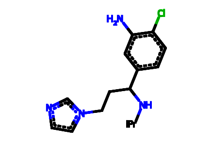 CC(C)NC(CCn1ccnc1)c1ccc(Cl)c(N)c1